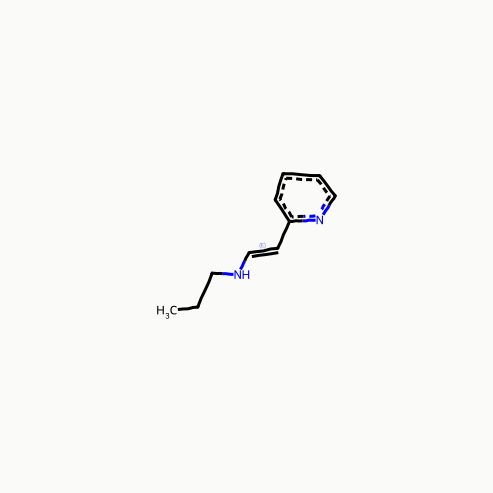 CCCN/C=C/c1ccccn1